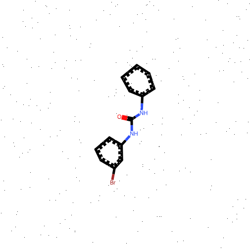 O=C(Nc1ccccc1)Nc1cccc(Br)c1